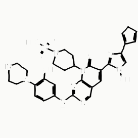 Cc1cc(Nc2ncc3cc(-c4nc(C5=CCC=C5)cn4C)c(=O)n(C4CCN(S(C)(=O)=O)CC4)c3n2)ccc1N1CCNCC1